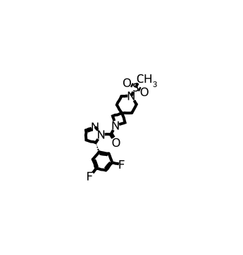 CS(=O)(=O)N1CCC2(CC1)CN(C(=O)N1N=CC[C@H]1c1cc(F)cc(F)c1)C2